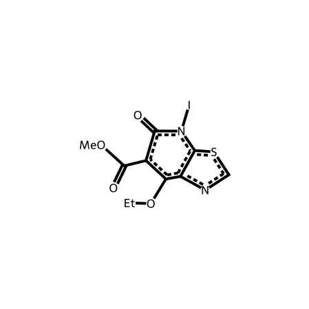 CCOc1c(C(=O)OC)c(=O)n(I)c2scnc12